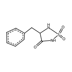 O=C1NS(=O)(=O)NC1Cc1ccccc1